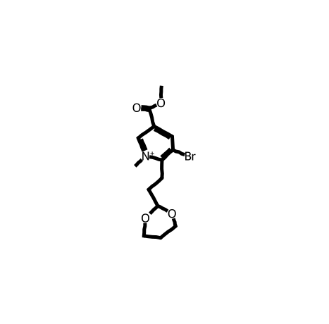 COC(=O)c1cc(Br)c(CCC2OCCCO2)[n+](C)c1